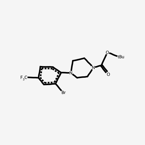 CC(C)(C)OC(=O)N1CCN(c2ccc(C(F)(F)F)cc2Br)CC1